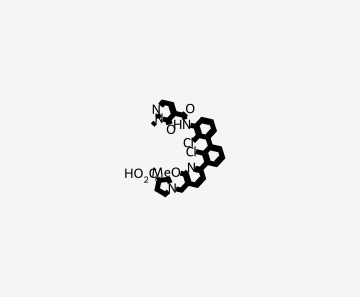 COc1nc(-c2cccc(-c3cccc(NC(=O)c4ccnn(C)c4=O)c3Cl)c2Cl)ccc1CN1CC[C@@H](C(=O)O)C1